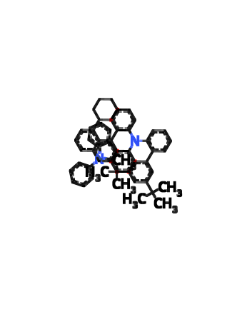 CC(C)(C)c1cc(-c2ccccc2N(c2ccccc2-c2cccc3cccc(C4CCCCC4)c23)c2cccc3c2c2ccccc2n3-c2ccccc2)cc(C(C)(C)C)c1